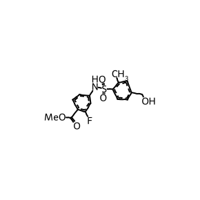 COC(=O)c1ccc(NS(=O)(=O)c2ccc(CO)cc2C)cc1F